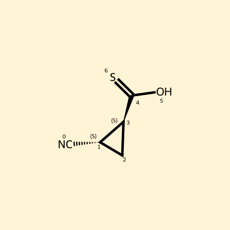 N#C[C@H]1C[C@@H]1C(O)=S